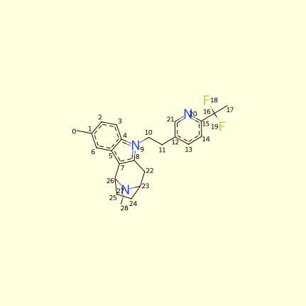 Cc1ccc2c(c1)c1c(n2CCc2ccc(C(C)(F)F)nc2)CC2CCC1N2C